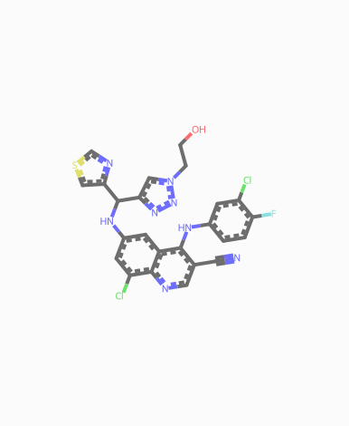 N#Cc1cnc2c(Cl)cc(NC(c3cscn3)c3cn(CCO)nn3)cc2c1Nc1ccc(F)c(Cl)c1